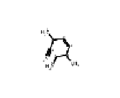 CC(C#N)/C=C\C(C)CN